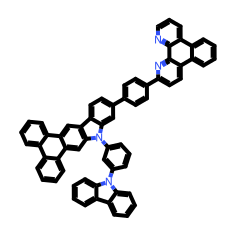 c1cc(-n2c3ccccc3c3ccccc32)cc(-n2c3cc(-c4ccc(-c5ccc6c7ccccc7c7cccnc7c6n5)cc4)ccc3c3cc4c5ccccc5c5ccccc5c4cc32)c1